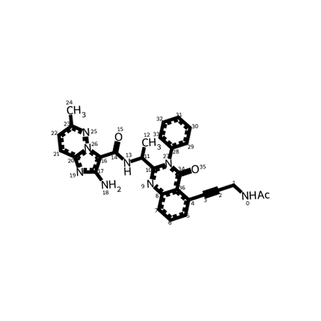 CC(=O)NCC#Cc1cccc2nc(C(C)NC(=O)c3c(N)nc4ccc(C)nn34)n(-c3ccccc3)c(=O)c12